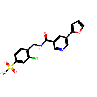 CS(=O)(=O)c1ccc(CNC(=O)c2cncc(-c3ccco3)c2)c(Cl)c1